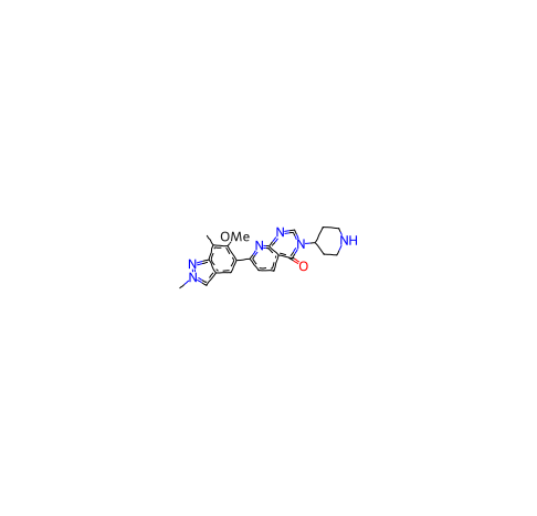 COc1c(-c2ccc3c(=O)n(C4CCNCC4)cnc3n2)cc2cn(C)nc2c1C